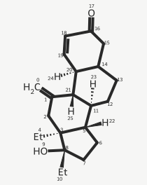 C=C1C[C@@]2(CC)[C@@H](CC[C@@]2(O)CC)[C@@H]2CCC3CC(=O)C=C[C@@H]3[C@@H]12